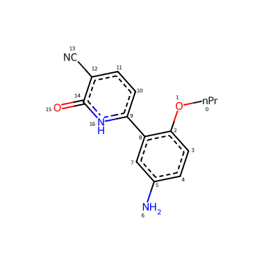 CCCOc1ccc(N)cc1-c1ccc(C#N)c(=O)[nH]1